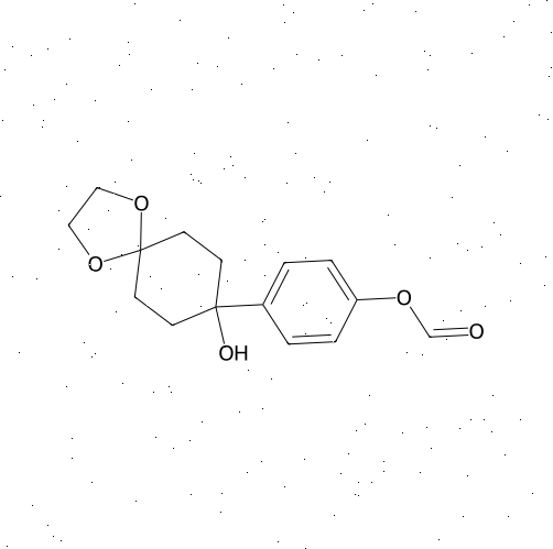 O=COc1ccc(C2(O)CCC3(CC2)OCCO3)cc1